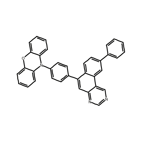 c1ccc(-c2ccc3c(-c4ccc(N5c6ccccc6Oc6ccccc65)cc4)cc4ncncc4c3c2)cc1